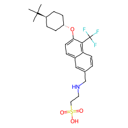 CC(C)(C)[C@H]1CC[C@H](Oc2ccc3cc(CNCCS(=O)(=O)O)ccc3c2C(F)(F)F)CC1